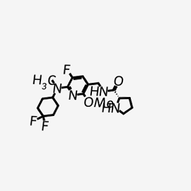 COc1nc(N(C)C2CCC(F)(F)CC2)c(F)cc1CNC(=O)[C@@H]1CCCN1